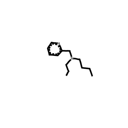 CCCCN(CCC)Cc1ccccn1